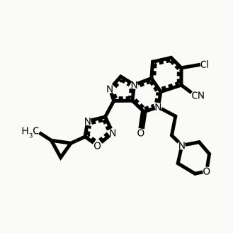 CC1CC1c1nc(-c2ncn3c2c(=O)n(CCN2CCOCC2)c2c(C#N)c(Cl)ccc23)no1